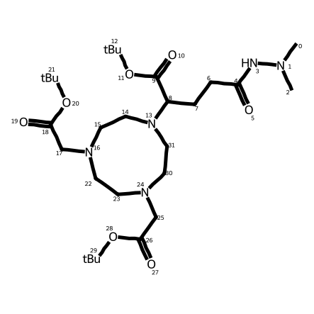 CN(C)NC(=O)CCC(C(=O)OC(C)(C)C)N1CCN(CC(=O)OC(C)(C)C)CCN(CC(=O)OC(C)(C)C)CC1